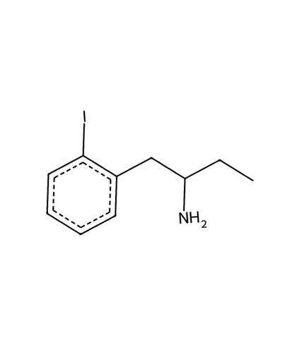 CCC(N)Cc1ccccc1I